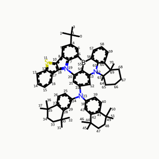 CC(C)(C)c1cc2c3c(c1)c1sc4ccccc4c1n3-c1cc(N(c3ccc4c(c3)C(C)(C)CCC4(C)C)c3ccc4c(c3)C(C)(C)CCC4(C)C)cc3c1B2c1cccc2c1N3C1(C)CCCCC21C